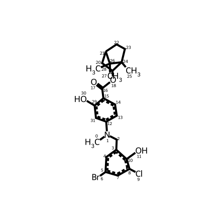 CN(Cc1cc(Br)cc(Cl)c1O)c1ccc(C(=O)OC2CC3CCC2(C)C3(C)C)c(O)c1